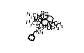 C=C[C@@]1(C)CC(=O)[C@]2(O)[C@@]3(C)[C@@H](O)CCC(C)(C)[C@@H]3[C@H](O)[C@H](OC(=S)NCc3ccccc3)[C@@]2(C)O1